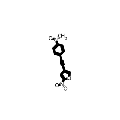 C=[N+]([O-])c1ccc(C#Cc2coc([N+](=O)[O-])c2)cc1